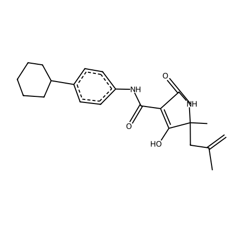 C=C(C)CC1(C)NC(=O)C(C(=O)Nc2ccc(C3CCCCC3)cc2)=C1O